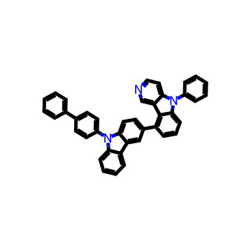 c1ccc(-c2ccc(-n3c4ccccc4c4cc(-c5cccc6c5c5cnccc5n6-c5ccccc5)ccc43)cc2)cc1